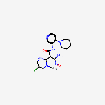 CN1CC(F)CNC1C(C(=O)Nc1cnccc1N1CCCCC1)C(N)N=O